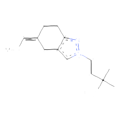 CCOC(=O)C(C)(C)CCn1cc2c(n1)CC/C(=C/OC)C2